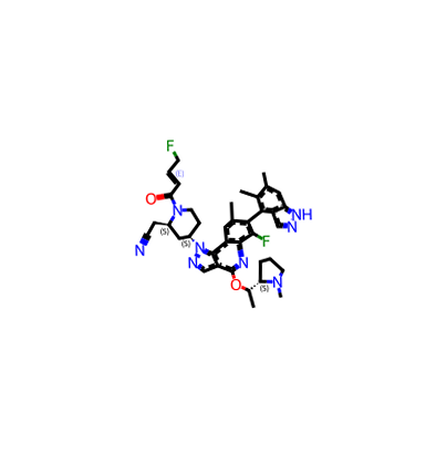 Cc1cc2[nH]ncc2c(-c2c(C)cc3c(nc(OC(C)[C@@H]4CCCN4C)c4cnn([C@H]5CCN(C(=O)/C=C/CF)[C@H](CC#N)C5)c43)c2F)c1C